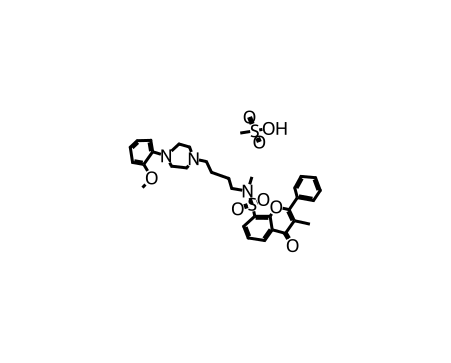 COc1ccccc1N1CCN(CCCCN(C)S(=O)(=O)c2cccc3c(=O)c(C)c(-c4ccccc4)oc23)CC1.CS(=O)(=O)O